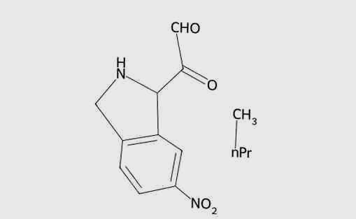 CCCC.O=CC(=O)C1NCc2ccc([N+](=O)[O-])cc21